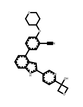 N#Cc1cc(-c2cccc3[nH]c(-c4ccc(C5(O)COC5)nc4)cc23)ccc1OC1CCOCC1